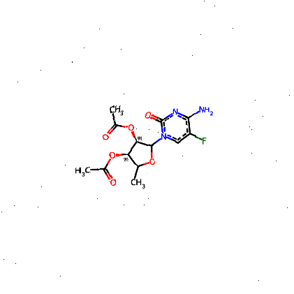 CC(=O)O[C@@H]1C(C)OC(n2cc(F)c(N)nc2=O)[C@@H]1OC(C)=O